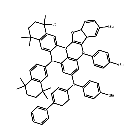 CCC1(C)CCC(C)(C)c2cc3c(cc21)B1C2=C(C4C=C(C(C)(C)C)C=CC4O2)N(c2ccc(C(C)(C)C)cc2)c2cc(N(C4=CC=C(c5ccccc5)CC4)c4ccc(C(C)(C)C)cc4)cc(c21)N3c1ccc2c(c1)C(C)(C)CCC2(C)C